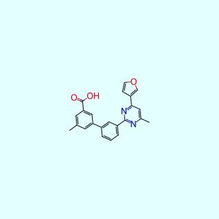 Cc1cc(C(=O)O)cc(-c2cccc(-c3nc(C)cc(-c4ccoc4)n3)c2)c1